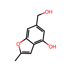 Cc1cc2c(O)cc(CO)cc2o1